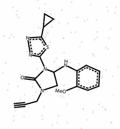 C#CCN1CC(Nc2ccccc2OC)N(c2nnc(C3CC3)s2)C1=O